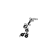 CCCCCCC(=O)NCCCC(=O)OCn1c(N(C)C2CCN(c3nc4c(n3Cc3ccc(F)cc3)=CCCC=4)CC2)nccc1=O